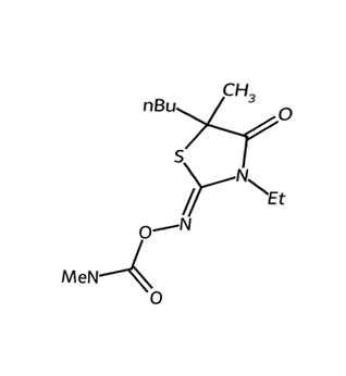 CCCCC1(C)SC(=NOC(=O)NC)N(CC)C1=O